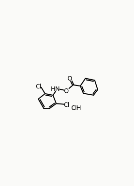 Cl.O=C(ONc1c(Cl)cccc1Cl)c1ccccc1